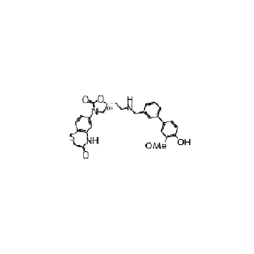 COc1cc(-c2cccc(CNCC[C@@H]3CN(c4ccc5c(c4)NC(=O)CS5)C(=O)O3)c2)ccc1O